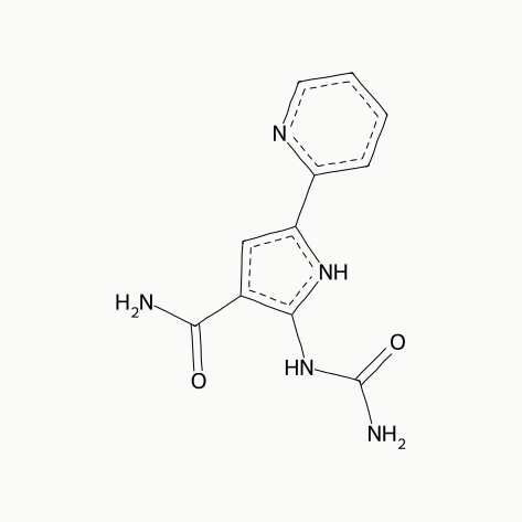 NC(=O)Nc1[nH]c(-c2ccccn2)cc1C(N)=O